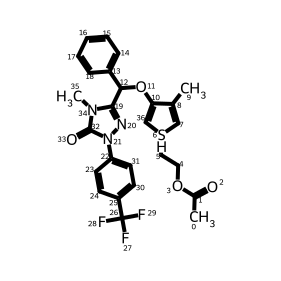 CC(=O)OCC[SH]1C=C(C)C(OC(c2ccccc2)c2nn(-c3ccc(C(F)(F)F)cc3)c(=O)n2C)=C1